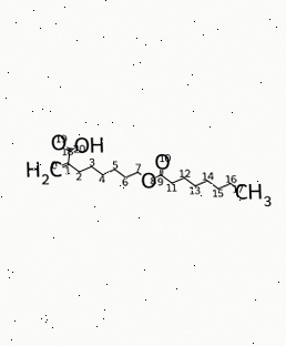 C=C(CCCCCCOC(=O)CCCCCCC)C(=O)O